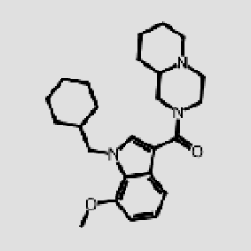 COc1cccc2c(C(=O)N3CCN4CCCCC4C3)cn(CC3CCCCC3)c12